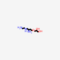 NCCNCC(N)CCOCC(O)CO